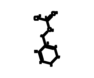 O=C(Cl)OCC1=CCCC=C1